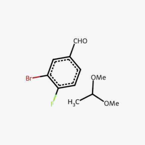 COC(C)OC.O=Cc1ccc(F)c(Br)c1